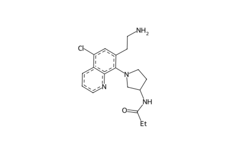 CCC(=O)NC1CCN(c2c(CCN)cc(Cl)c3cccnc23)C1